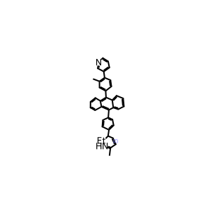 CCC(/C=C\C(C)=N)c1ccc(-c2c3ccccc3c(-c3ccc(-c4cccnc4)c(C)c3)c3ccccc23)cc1